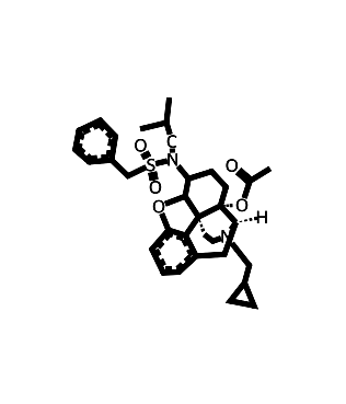 CC(=O)O[C@@]12CCC(N(CC(C)C)S(=O)(=O)Cc3ccccc3)C3Oc4cccc5c4[C@@]31CCN(CC1CC1)[C@@H]2C5